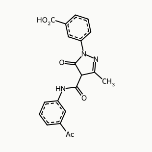 CC(=O)c1cccc(NC(=O)C2C(=O)N(c3cccc(C(=O)O)c3)N=C2C)c1